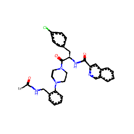 CCC(=O)NCc1ccccc1N1CCN(C(=O)[C@@H](Cc2ccc(Cl)cc2)NC(=O)c2cc3ccccc3cn2)CC1